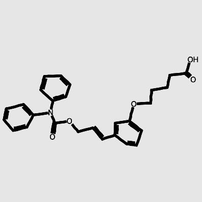 O=C(O)CCCCOc1cccc(C=CCOC(=O)N(c2ccccc2)c2ccccc2)c1